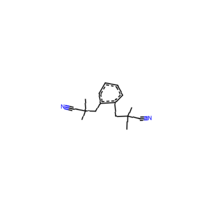 CC(C)(C#N)Cc1ccccc1CC(C)(C)C#N